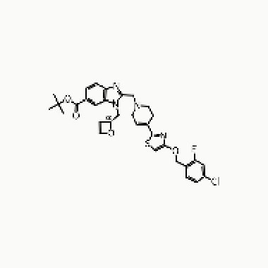 CC(C)(C)OC(=O)c1ccc2nc(CN3CC=C(c4nc(OCc5ccc(Cl)cc5F)cs4)CC3)n(C[C@@H]3CCO3)c2c1